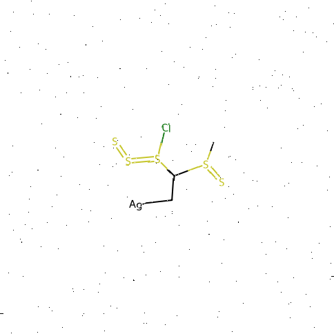 CS(=S)C([CH2][Ag])S(Cl)=S=S